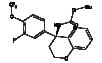 CC(C)(C)OC(=O)N[C@]1(c2ccc(OC(F)(F)F)c(F)c2)CCOc2cccnc21